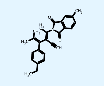 C#C/C(C(=C(C)C)c1ccc(CC)cc1)=C(/C)N1C(=O)c2ccc(C)cc2C1=O